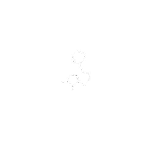 CC1=C(C)c2cccc(-c3ccccc3)c2C1